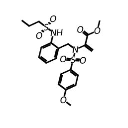 C=C(C(=O)OC)N(Cc1ccccc1NS(=O)(=O)CCC)S(=O)(=O)c1ccc(OC)cc1